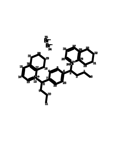 CCCC(c1ccc(C(CCC)[n+]2cccc3c2CCCC3)cc1)[n+]1cccc2c1CCCC2.[Br-].[Br-]